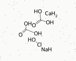 O=C(O)O.O=C(O)O.OCl.[CaH2].[NaH]